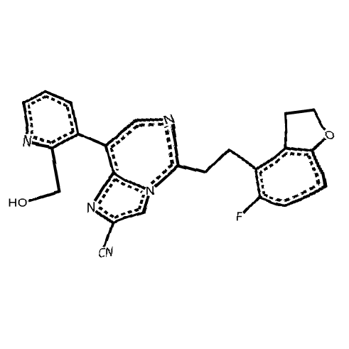 N#Cc1cn2c(CCc3c(F)ccc4c3CCO4)ncc(-c3cccnc3CO)c2n1